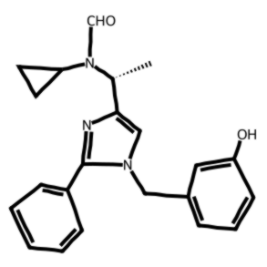 C[C@H](c1cn(Cc2cccc(O)c2)c(-c2ccccc2)n1)N(C=O)C1CC1